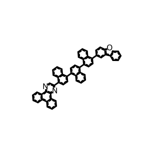 c1ccc2c(c1)oc1ccc(-c3ccc(-c4ccc(-c5ccc(-c6cnc7c8ccccc8c8ccccc8c7n6)c6ccccc56)c5ccccc45)c4ccccc34)cc12